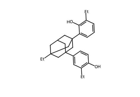 CCc1cc(C23CC4CC(CC)(C2)CC(c2cccc(CC)c2O)(C4)C3)ccc1O